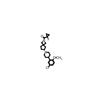 COc1ccc(Cl)cc1C1CCN([C@@H]2CCC3(C2)CN(C(=O)C2(F)CC2)C3)CC1